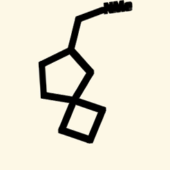 CNCC1CCC2(CCC2)C1